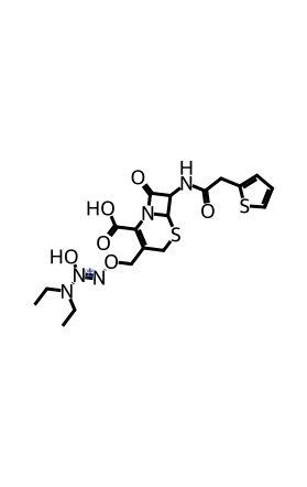 CCN(CC)/[N+](O)=N/OCC1=C(C(=O)O)N2C(=O)C(NC(=O)Cc3cccs3)C2SC1